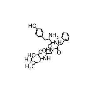 CC(C)C[C@H](NC(=O)CNC(=O)[C@H](Cc1ccccc1)NC(=O)[C@@H](N)Cc1ccc(O)cc1)C(=O)O